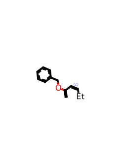 C=C(/C=C\CC)OCc1ccccc1